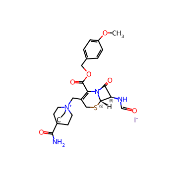 COc1ccc(COC(=O)C2=C(C[N+]34CCC(C(N)=O)(CC3)CC4)CS[C@H]3[C@H](NC=O)C(=O)N23)cc1.[I-]